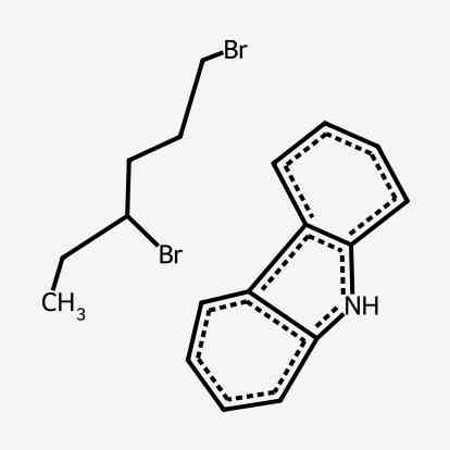 CCC(Br)CCCBr.c1ccc2c(c1)[nH]c1ccccc12